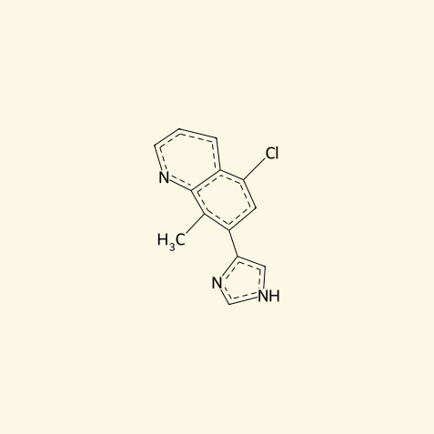 Cc1c(-c2c[nH]cn2)cc(Cl)c2cccnc12